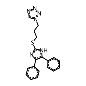 c1ccc(-c2nc(SCCCn3cnnn3)[nH]c2-c2ccccc2)cc1